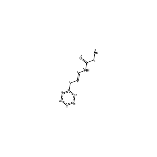 CC(=O)CC(=O)NC=CCc1ccccc1